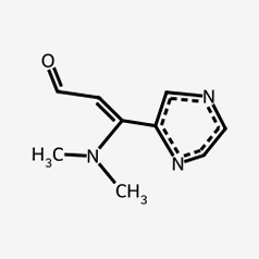 CN(C)C(=CC=O)c1cnccn1